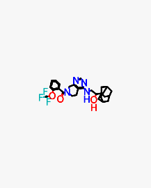 O=C(c1ccccc1OC(F)(F)F)N1CCc2c(ncnc2NCC(O)C23CC4CC(CC(C4)C2)C3)C1